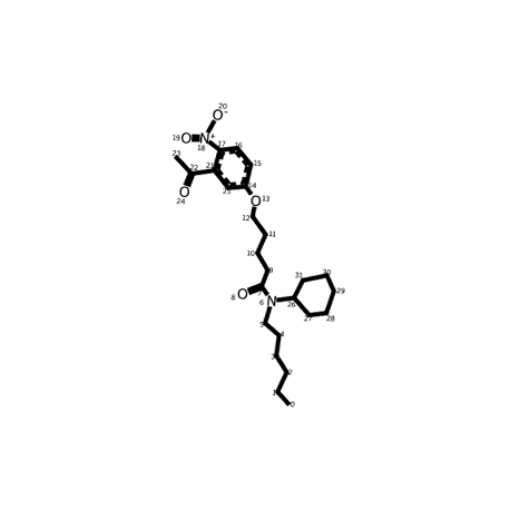 CCCCCCN(C(=O)CCCCOc1ccc([N+](=O)[O-])c(C(C)=O)c1)C1CCCCC1